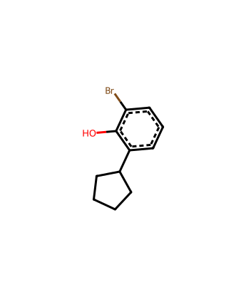 Oc1c(Br)cccc1C1CCCC1